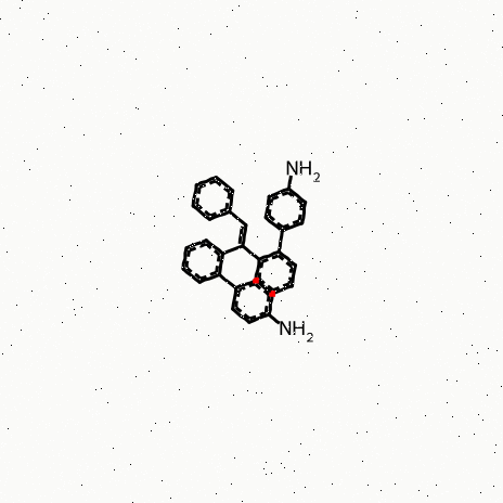 Nc1ccc(-c2ccccc2C(=Cc2ccccc2)c2ccccc2-c2ccc(N)cc2)cc1